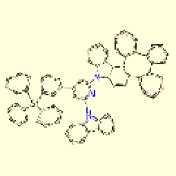 C1=CC2C(C3=C1c1ccccc1-c1ccccc1-c1ccccc13)c1ccccc1N2c1cc(-c2cccc([Si](c3ccccc3)(c3ccccc3)c3ccccc3)c2)cc(-n2c3ccccc3c3ccccc32)n1